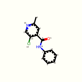 Cc1cc(C(=O)Nc2ccccc2)c(Cl)cn1